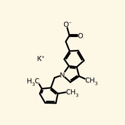 Cc1cccc(C)c1Cn1cc(C)c2ccc(CC(=O)[O-])cc21.[K+]